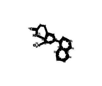 O=C1CCc2cc(-c3cncc4ccccc34)cc([N+](=O)[O-])c2N1